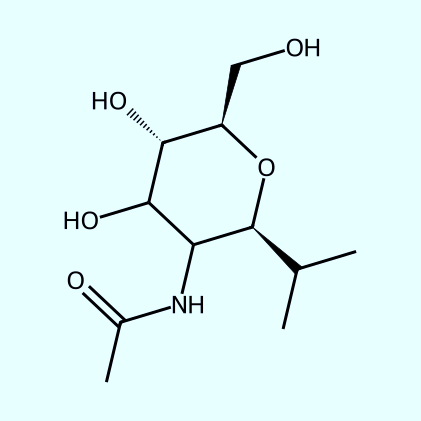 CC(=O)NC1C(O)[C@H](O)[C@@H](CO)O[C@H]1C(C)C